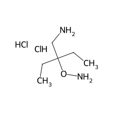 CCC(CC)(CN)ON.Cl.Cl